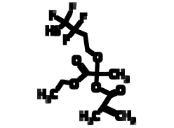 C=C(C)C(=O)OC(C)(OCCC(F)(F)C(F)(F)S)C(=O)OCC